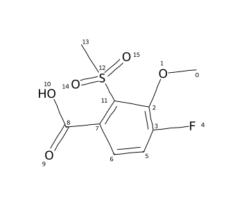 COc1c(F)ccc(C(=O)O)c1S(C)(=O)=O